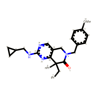 CCCC1(CC(C)C)C(=O)N(Cc2ccc(OC)cc2)Cc2cnc(NCC3CC3)nc21